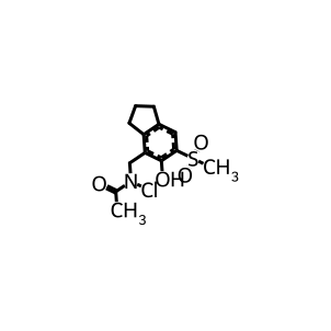 CC(=O)N(Cl)Cc1c(O)c(S(C)(=O)=O)cc2c1CCC2